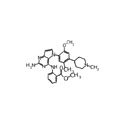 COC(=O)c1ccccc1Nc1nc(N)nc2ccn(-c3cc(C)c(C4CCN(C)CC4)cc3OC)c12